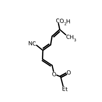 CCC(=O)OC=CC(C#N)=CC=C(C)C(=O)O